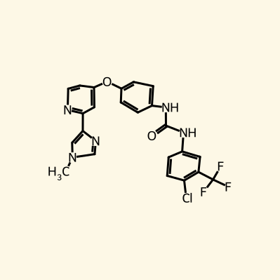 Cn1cnc(-c2cc(Oc3ccc(NC(=O)Nc4ccc(Cl)c(C(F)(F)F)c4)cc3)ccn2)c1